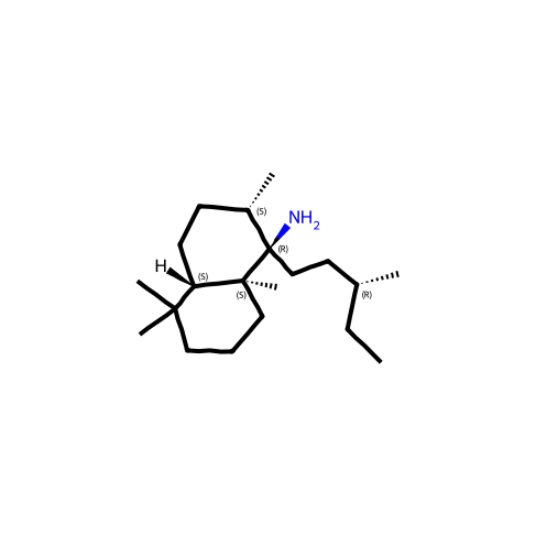 CC[C@@H](C)CC[C@@]1(N)[C@@H](C)CC[C@H]2C(C)(C)CCC[C@@]21C